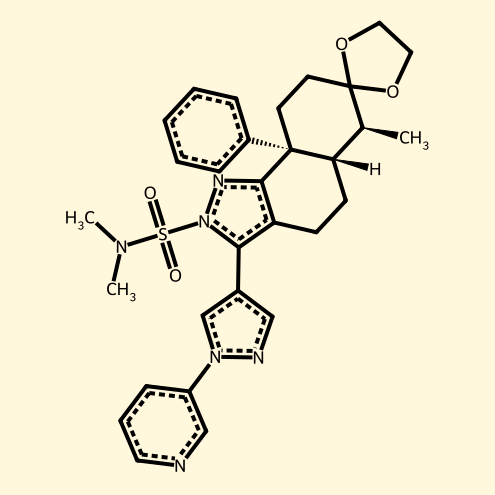 C[C@H]1[C@@H]2CCc3c(nn(S(=O)(=O)N(C)C)c3-c3cnn(-c4cccnc4)c3)[C@@]2(c2ccccc2)CCC12OCCO2